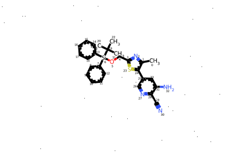 Cc1nc(CO[Si](c2ccccc2)(c2ccccc2)C(C)(C)C)sc1-c1cnc(C#N)c(N)c1